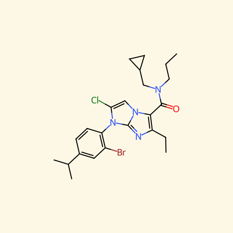 CCCN(CC1CC1)C(=O)c1c(CC)nc2n(-c3ccc(C(C)C)cc3Br)c(Cl)cn12